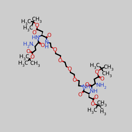 CC(C)(C)OC(=O)C[C@H](NC(=O)[C@@H](N)CC(=O)OC(C)(C)C)C(=O)NCCOCCOCCOCCOCCNC(=O)[C@H](CC(=O)OC(C)(C)C)NC(=O)[C@@H](N)CC(=O)OC(C)(C)C